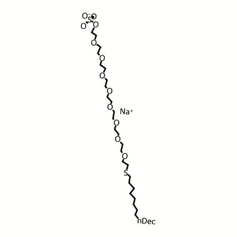 CCCCCCCCCCCCCCCCCCSCCOCCOCCOCCOCCOCCOCCOCCOCCOS(=O)(=O)[O-].[Na+]